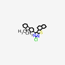 CC1(C)c2ccccc2-c2ccc(-c3nc(Cl)nc4sc5c6ccccc6ccc5c34)cc21